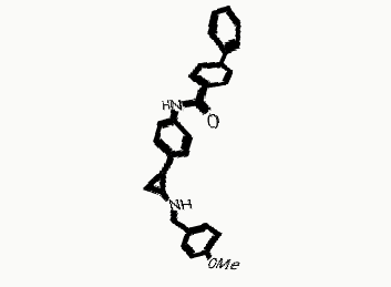 COc1ccc(CNC2CC2c2ccc(NC(=O)c3ccc(-c4ccccc4)cc3)cc2)cc1